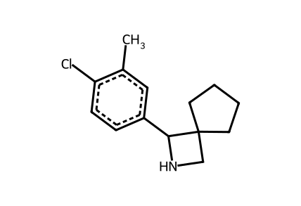 Cc1cc(C2NCC23CCCC3)ccc1Cl